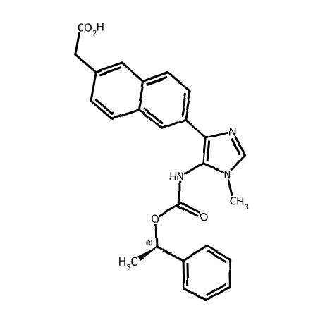 C[C@@H](OC(=O)Nc1c(-c2ccc3cc(CC(=O)O)ccc3c2)ncn1C)c1ccccc1